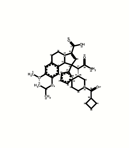 COc1cc2c(cc1OC(C)C)C1N(CC2)C(C(=O)O)=CC1(c1cccs1)C(C(N)=O)[C@H]1CCCN(C(=O)C2CCC2)C1